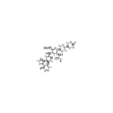 C=CC(=O)Nc1cc(Nc2cc(N3OCC[C@H]3c3c(F)cccc3F)ncn2)c(OC)cc1N1CCC(N2CCN(C)CC2)CC1